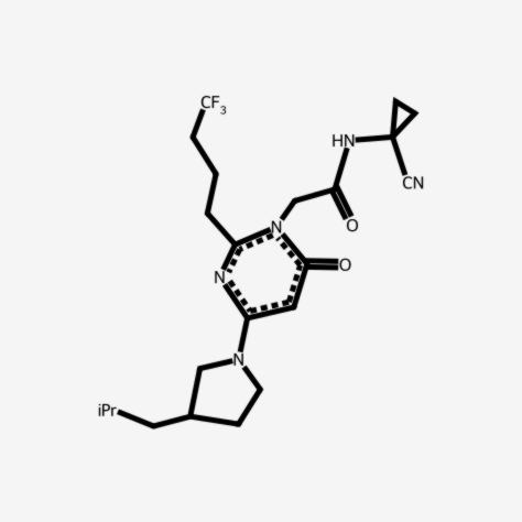 CC(C)CC1CCN(c2cc(=O)n(CC(=O)NC3(C#N)CC3)c(CCCC(F)(F)F)n2)C1